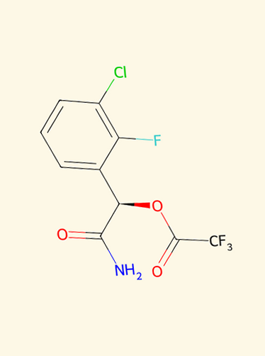 NC(=O)[C@H](OC(=O)C(F)(F)F)c1cccc(Cl)c1F